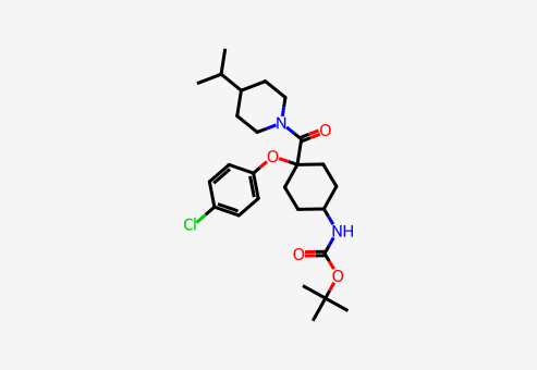 CC(C)C1CCN(C(=O)C2(Oc3ccc(Cl)cc3)CCC(NC(=O)OC(C)(C)C)CC2)CC1